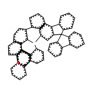 c1ccc(-c2cccc(-c3ccccc3)c2N(c2ccc3c(c2)C2(c4ccccc4-c4ccccc42)c2ccccc2-3)c2cccc3c4ccccc4c4ccccc4c23)cc1